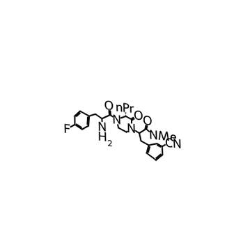 CCC[C@@H]1C(=O)N(C(Cc2cccc(C#N)c2)C(=O)NC)CCN1C(=O)C(N)Cc1ccc(F)cc1